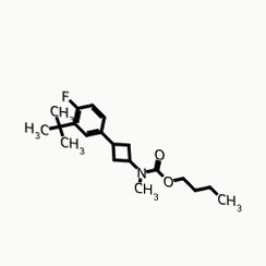 CCCCOC(=O)N(C)C1CC(c2ccc(F)c(C(C)(C)C)c2)C1